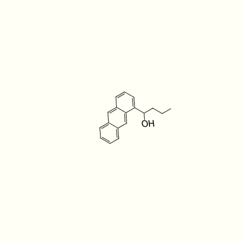 CCCC(O)c1cccc2cc3ccccc3cc12